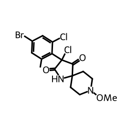 CON1CCC2(CC1)NC(=O)C(Cl)(c1c(C)cc(Br)cc1Cl)C2=O